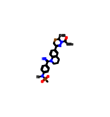 CCN(c1ccc(C(=N)N2CCCc3cc(C4=NN(C(=O)OC)C(C=O)SC4)ccc32)cc1)S(C)(=O)=O